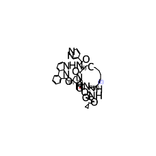 O=C(N[C@H]1CCCCC/C=C\[C@@H]2C[C@@]2(C(=O)NS(=O)(=O)C2CC2)NC(=O)[C@@H]2C[C@@H](Oc3nc4ncccc4c4ccccc34)CN2C1=O)c1ccnnc1